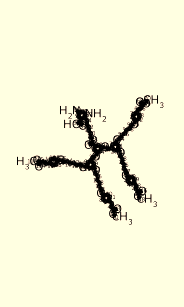 COC(=O)C=Cc1ccc(OCCCCCCOc2cc(COc3cc(OCc4cc(OCCCCCCOc5ccc(C=CC(=O)OC)cc5)cc(OCCCCCCOc5ccc(C=CC(=O)OC)cc5)c4)cc(C(=O)OCCCCCCc4c(N)cc(N)cc4C(=O)O)c3)cc(OCCCCCCOc3ccc(C=CC(=O)OC)cc3)c2)cc1